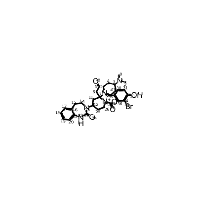 CN(C)C1CCN(C2(CC=O)CC(N3CCc4ccccc4NC3=O)CC[N@+]2(Cc2ccc(O)c(Br)c2)C(=O)[O-])CC1